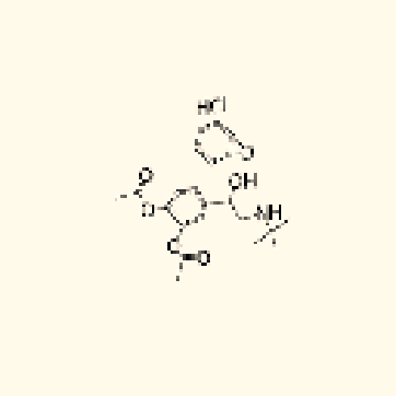 CC(=O)Oc1ccc(C(O)CNC(C)(C)C)cc1OC(C)=O.Cl.c1ccc2c(c1)O2